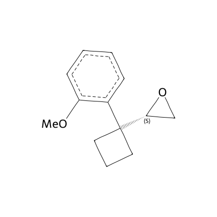 COc1ccccc1C1([C@H]2CO2)CCC1